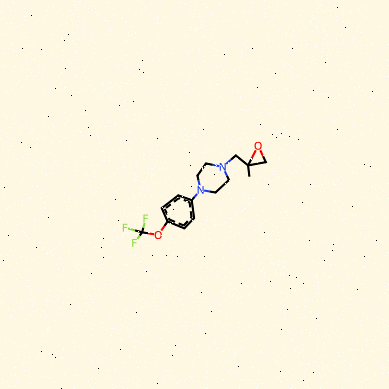 CC1(CN2CCN(c3ccc(OC(F)(F)F)cc3)CC2)CO1